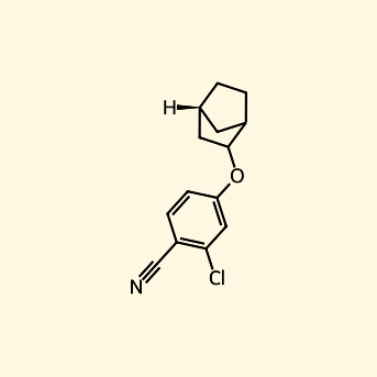 N#Cc1ccc(OC2C[C@@H]3CCC2C3)cc1Cl